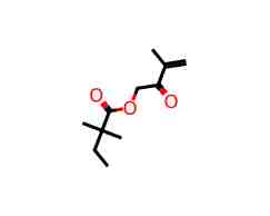 C=C(C)C(=O)COC(=O)C(C)(C)CC